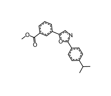 COC(=O)c1cccc(-c2cnc(-c3ccc(C(C)C)cc3)o2)c1